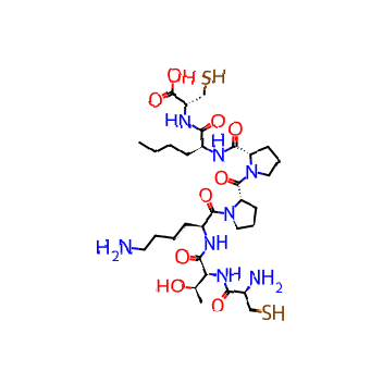 CCCC[C@H](NC(=O)[C@@H]1CCCN1C(=O)[C@@H]1CCCN1C(=O)[C@H](CCCCN)NC(=O)[C@@H](NC(=O)[C@@H](N)CS)[C@@H](C)O)C(=O)N[C@@H](CS)C(=O)O